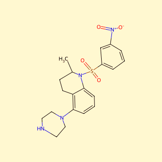 CC1CCc2c(N3CCNCC3)cccc2N1S(=O)(=O)c1cccc([N+](=O)[O-])c1